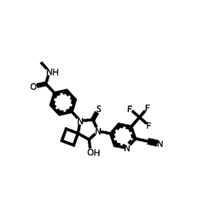 CNC(=O)c1ccc(N2C(=S)N(c3cnc(C#N)c(C(F)(F)F)c3)C(O)C23CCC3)cc1